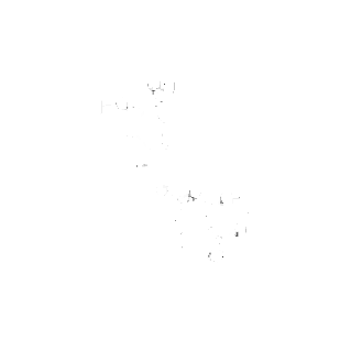 C=CC1C(=O)OCC[C@H]1CC(=O)OCCc1ccc(O)c(O)c1